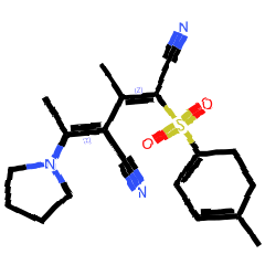 CC1=CC=C(S(=O)(=O)/C(C#N)=C(C)\C(C#N)=C(/C)N2CCCC2)CC1